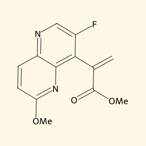 C=C(C(=O)OC)c1c(F)cnc2ccc(OC)nc12